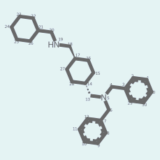 c1ccc(CN(Cc2ccccc2)C[C@H]2CC[C@H](CNCC3CCCCC3)CC2)cc1